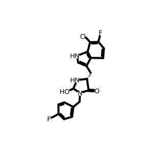 O=C1[C@@H](Cc2c[nH]c3c(Cl)c(F)ccc23)NC(O)N1Cc1ccc(F)cc1